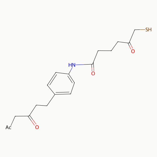 CC(=O)CC(=O)CCc1ccc(NC(=O)CCCC(=O)CS)cc1